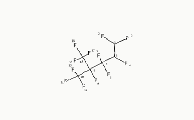 FC(F)C(F)C(F)(F)C(F)(C(F)(F)F)C(F)(F)F